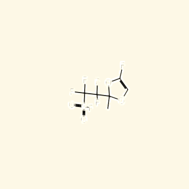 CC1(C(F)(F)C(F)(F)S(=O)(=O)F)OC=C(F)O1